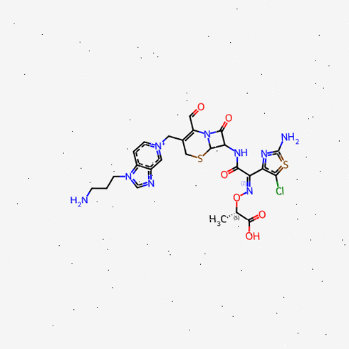 C[C@H](O/N=C(\C(=O)NC1C(=O)N2C(C=O)=C(C[n+]3ccc4c(c3)ncn4CCCN)CSC12)c1nc(N)sc1Cl)C(=O)O